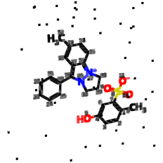 Cc1ccc(O)cc1S(=O)(=O)[O-].Cc1ccc2c(c1)c(-c1ccccc1)n1[n+]2CCC1